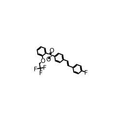 O=S(=O)(c1ccc(C=Cc2ccc(F)cc2)cc1)c1ccccc1OCC(F)(F)F